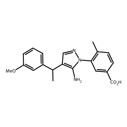 COc1cccc(C(C)c2cnn(-c3cc(C(=O)O)ccc3C)c2N)c1